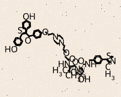 Cc1ncsc1-c1ccc(CNC(=O)[C@@H]2C[C@@H](O)CN2C(=O)[C@@H](NC(=O)COCCN2CCN(CCOc3ccc(C(=O)c4c(-c5ccc(O)cc5)sc5cc(O)ccc45)cc3)CC2)C(C)(C)C)cc1